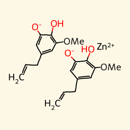 C=CCc1cc([O-])c(O)c(OC)c1.C=CCc1cc([O-])c(O)c(OC)c1.[Zn+2]